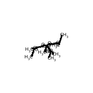 CCCCCCCCC(CC)OC(=O)CCCCCCC(=O)OCC(COC(=O)CCCCCCC(=O)OC(CC)CCCCCCCC)N(CCCN(C)C)C(=O)CCC(=O)OC(CCC)CCCCCC